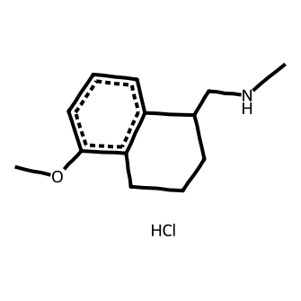 CNCC1CCCc2c(OC)cccc21.Cl